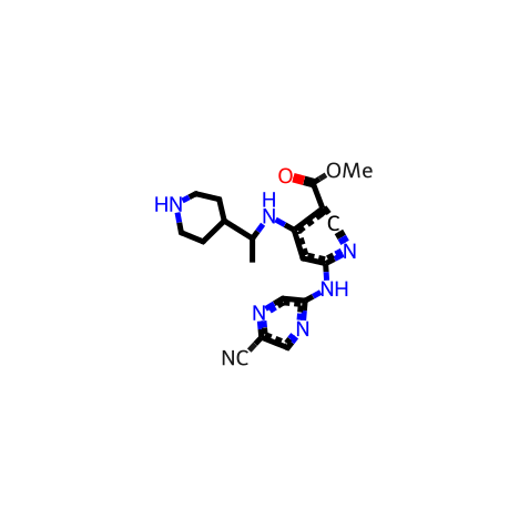 COC(=O)c1cnc(Nc2cnc(C#N)cn2)cc1NC(C)C1CCNCC1